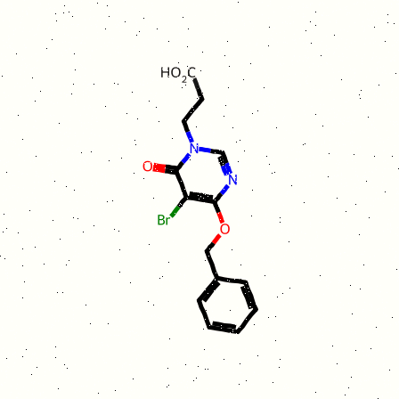 O=C(O)CCn1cnc(OCc2ccccc2)c(Br)c1=O